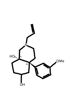 C=CCN1CC[C@]2(c3cccc(OC)c3)CC(O)CC[C@@]2(O)C1